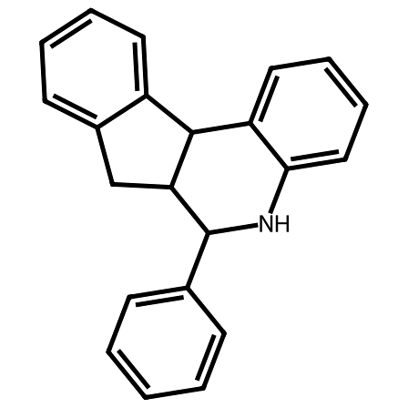 c1ccc(C2Nc3ccccc3C3c4ccccc4CC23)cc1